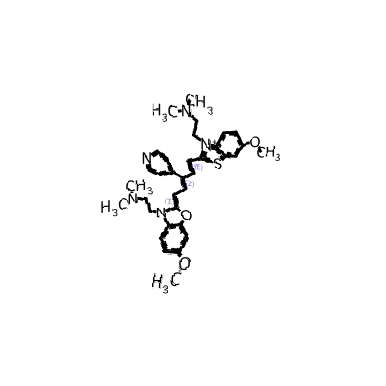 COc1ccc2c(c1)O\C(=C/C=C(/C=C/c1sc3cc(OC)ccc3[n+]1CCN(C)C)c1ccncc1)N2CCN(C)C